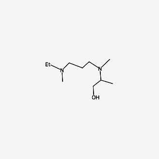 CCN(C)CCCN(C)C(C)CO